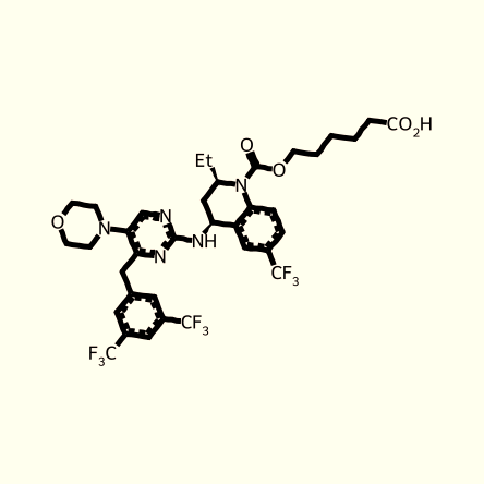 CC[C@@H]1C[C@H](Nc2ncc(N3CCOCC3)c(Cc3cc(C(F)(F)F)cc(C(F)(F)F)c3)n2)c2cc(C(F)(F)F)ccc2N1C(=O)OCCCCCC(=O)O